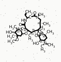 C=CC1CC(=O)N(C)C[C@H](C)C[C@@](C)(O)[C@H](O[C@@H]2O[C@H](C)C[C@H](N(C)C)[C@H]2O)[C@@H](C)[C@H](O[C@H]2C[C@@](C)(OC)[C@@H](O)[C@H](C)O2)[C@@H](C)C(=O)N1